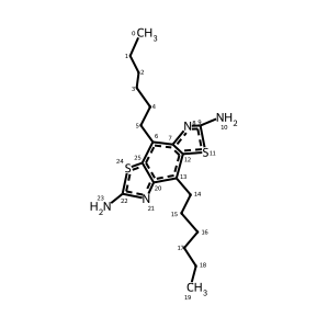 CCCCCCc1c2nc(N)sc2c(CCCCCC)c2nc(N)sc12